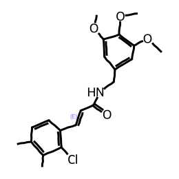 COc1cc(CNC(=O)/C=C/c2ccc(C)c(C)c2Cl)cc(OC)c1OC